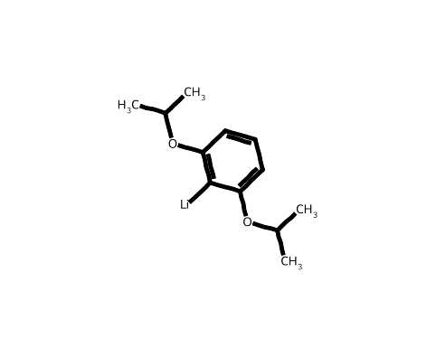 [Li][c]1c(OC(C)C)cccc1OC(C)C